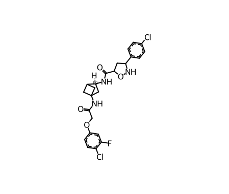 O=C(COc1ccc(Cl)c(F)c1)NC12CC(C1)[C@@H](NC(=O)C1CC(c3ccc(Cl)cc3)NO1)C2